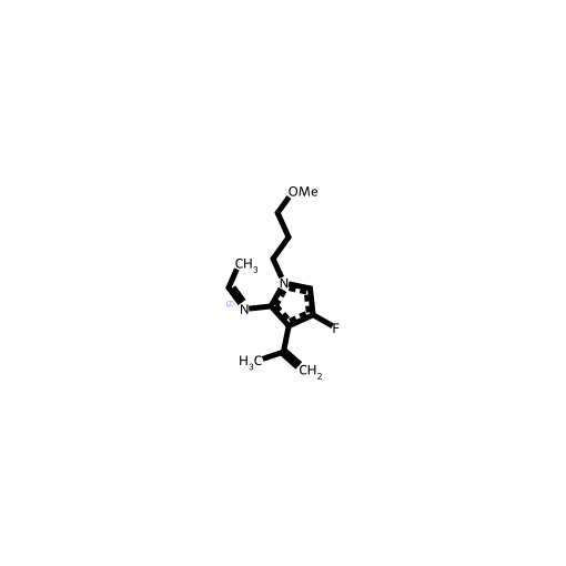 C=C(C)c1c(F)cn(CCCOC)c1/N=C\C